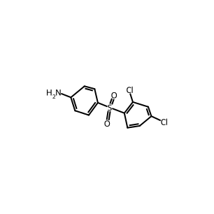 Nc1ccc(S(=O)(=O)c2ccc(Cl)cc2Cl)cc1